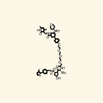 CCN(c1cc(C(=O)NCc2c(C)cc(C)[nH]c2=O)cc(-c2ccc(OCCOCCOCCOCC(=O)N[C@H](C(=O)C3C[C@H](O)C[C@H]3C(=O)NCc3ccc(-c4sccc4C)cc3)C(C)(C)C)cc2)c1)C1CCOCC1